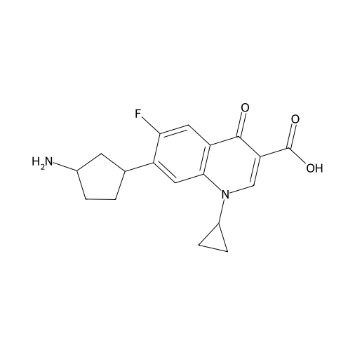 NC1CCC(c2cc3c(cc2F)c(=O)c(C(=O)O)cn3C2CC2)C1